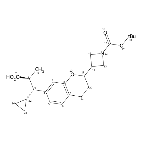 C[C@H](C(=O)O)[C@H](c1ccc2c(c1)OC(C1CN(C(=O)OC(C)(C)C)C1)CC2)C1CC1